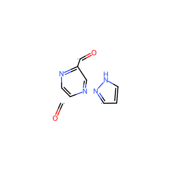 O=[C]c1cnccn1.[CH]=O.[c]1cc[nH]n1